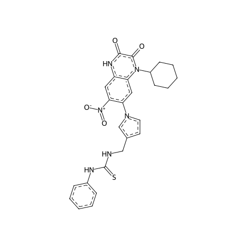 O=c1[nH]c2cc([N+](=O)[O-])c(-n3ccc(CNC(=S)Nc4ccccc4)c3)cc2n(C2CCCCC2)c1=O